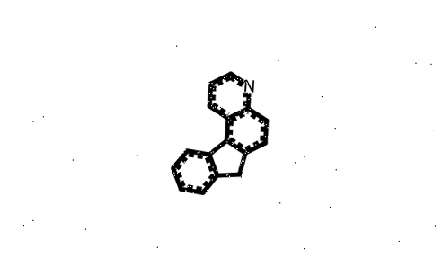 c1ccc2c(c1)Cc1ccc3ncccc3c1-2